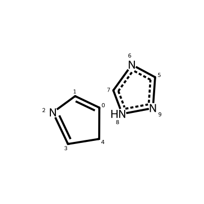 C1=CN=CC1.c1nc[nH]n1